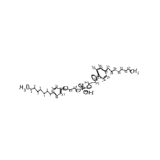 CCCCCCCCc1ccc(OCCOP(=O)(O)OCCOc2ccc(CCCCCCCC)cc2)cc1